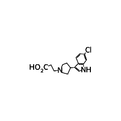 O=C(O)CCN1CCC(c2c[nH]c3cc(Cl)ccc23)CC1